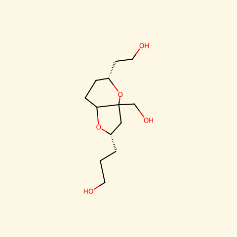 OCCC[C@H]1CC2(CO)O[C@@H](CCO)CCC2O1